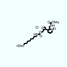 CCCCCCCCCCCCCCCCCCNC(=O)OCC1OCC1c1ccc[n+](CC)c1CNC(=O)OC.[Cl-]